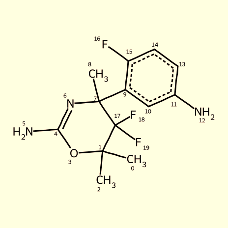 CC1(C)OC(N)=NC(C)(c2cc(N)ccc2F)C1(F)F